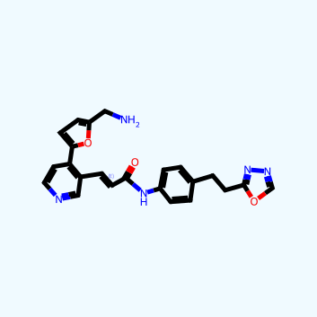 NCc1ccc(-c2ccncc2/C=C/C(=O)Nc2ccc(CCc3nnco3)cc2)o1